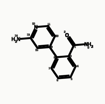 NC(=O)c1ccccc1-c1ccnc(N)c1